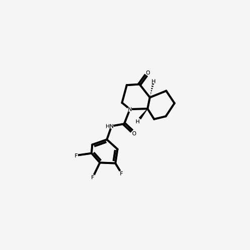 O=C1CCN(C(=O)Nc2cc(F)c(F)c(F)c2)[C@H]2CCCC[C@H]12